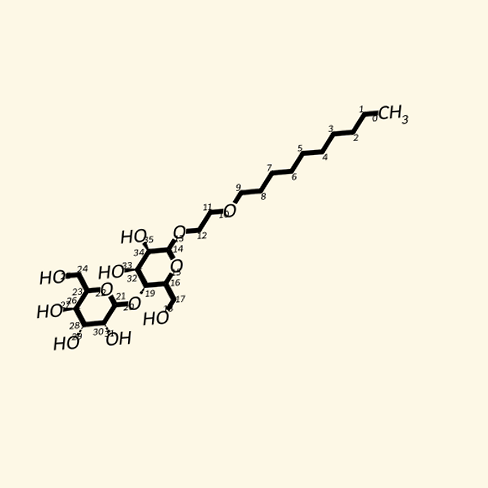 CCCCCCCCCCOCCOC1OC(CO)[C@H](OC2OC(CO)[C@H](O)[C@@H](O)[C@H]2O)[C@@H](O)[C@H]1O